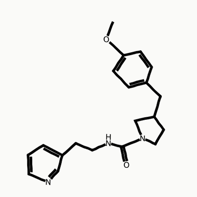 COc1ccc(CC2CCN(C(=O)NCCc3cccnc3)C2)cc1